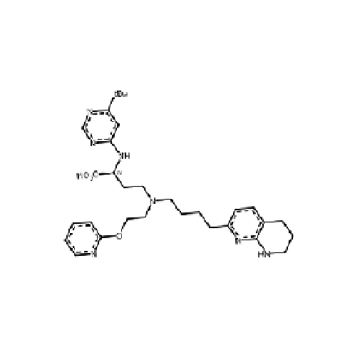 CC(C)(C)c1cc(N[C@@H](CCN(CCCCc2ccc3c(n2)NCCC3)CCOc2ccccn2)C(=O)O)ncn1